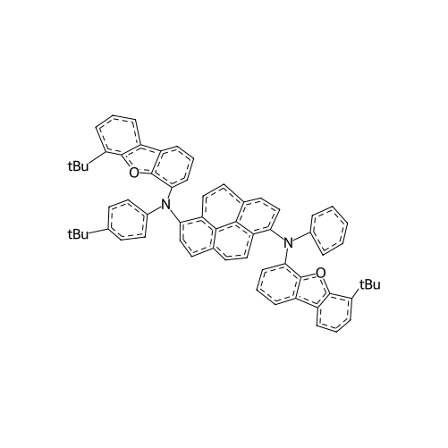 CC(C)(C)c1ccc(N(c2ccc3ccc4c(N(c5ccccc5)c5cccc6c5oc5c(C(C)(C)C)cccc56)ccc5ccc2c3c54)c2cccc3c2oc2c(C(C)(C)C)cccc23)cc1